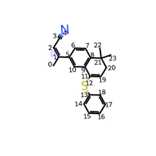 C/C(=C/C#N)c1ccc2c(c1)C(Sc1ccccc1)=CCC2(C)C